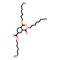 CC(C)CCCCCCOC(=O)C1CCC(C(=O)OCCCCCCC(C)C)C(C(=O)OCCCCCCC(C)C)C1